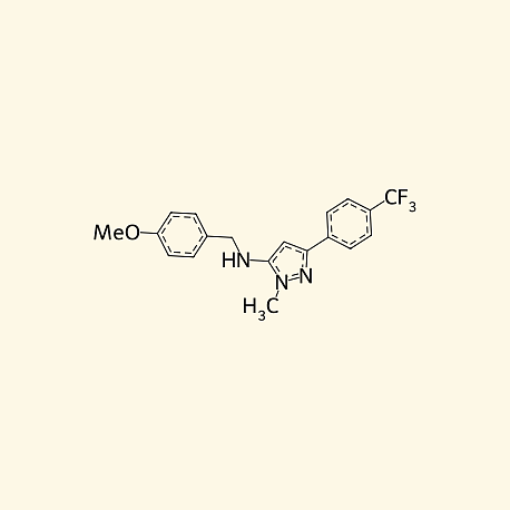 COc1ccc(CNc2cc(-c3ccc(C(F)(F)F)cc3)nn2C)cc1